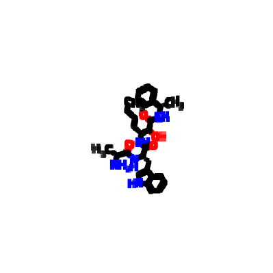 CCCC[C@H](NC(=O)[C@H](Cc1c[nH]c2ccccc12)NC(=O)[C@H](C)N)C(O)C(=O)N[C@@H](C)c1ccccc1